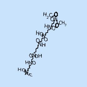 C=Cc1ccccc1N(Cc1ccccc1C)C(=O)CCC(=O)NCCCCCN(O)C(=O)CCC(=O)NCCCCCN(O)C(=O)CCC(=O)NCCCCCN(O)C(C)=O